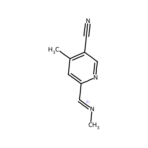 C/N=C/c1cc(C)c(C#N)cn1